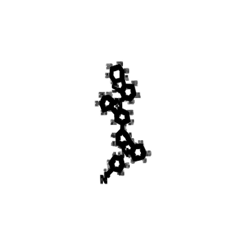 N#Cc1ccc(-n2c3ccccc3c3cc(-c4ccc5c(c4)c4ccccc4n5-c4cccc5c4SC4CC=CC=C54)ccc32)cc1